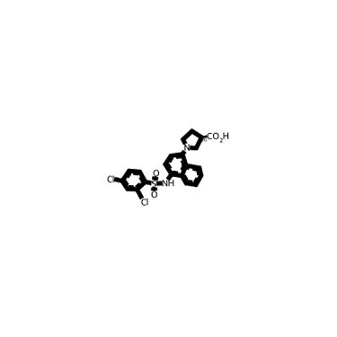 O=C(O)[C@@H]1CCN(c2ccc(NS(=O)(=O)c3ccc(Cl)cc3Cl)c3ccccc23)C1